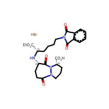 Br.CCOC(=O)[C@H](CCCCN1C(=O)c2ccccc2C1=O)N[C@H]1CCC(=O)N2CCC[C@@H](C(=O)O)N2C1=O